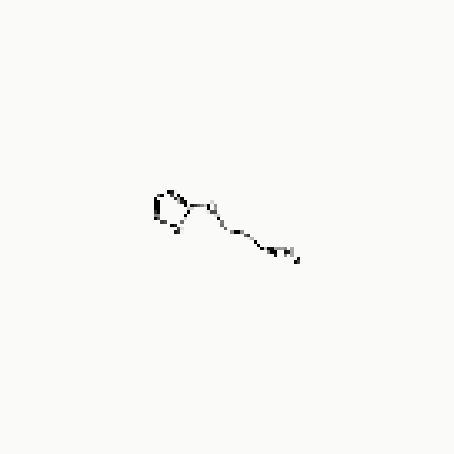 C=CCCOc1cccs1